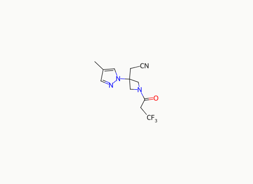 Cc1cnn(C2(CC#N)CN(C(=O)CC(F)(F)F)C2)c1